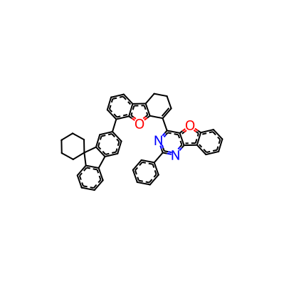 C1=C(c2nc(-c3ccccc3)nc3c2oc2ccccc23)c2oc3c(-c4ccc5c(c4)C4(CCCCC4)c4ccccc4-5)cccc3c2CC1